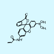 C=CC(=O)Nc1ccc2c(c1)Oc1cc(B(O)O)ccc1C21OC(=O)c2ccccc21